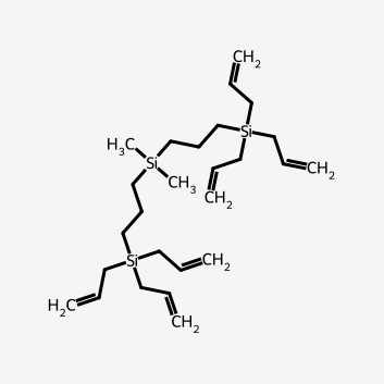 C=CC[Si](CC=C)(CC=C)CCC[Si](C)(C)CCC[Si](CC=C)(CC=C)CC=C